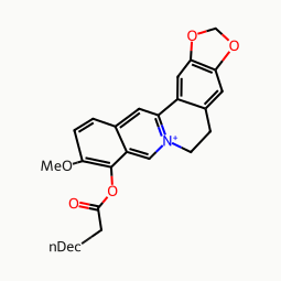 CCCCCCCCCCCC(=O)Oc1c(OC)ccc2cc3[n+](cc12)CCc1cc2c(cc1-3)OCO2